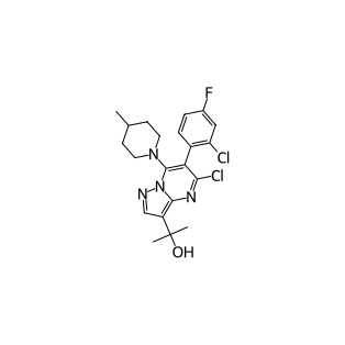 CC1CCN(c2c(-c3ccc(F)cc3Cl)c(Cl)nc3c(C(C)(C)O)cnn23)CC1